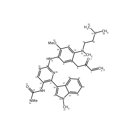 C=CC(=O)Cc1cc(Nc2ncc(NC(=O)NC)c(-c3cn(C)c4ccccc34)n2)c(OC)cc1N(C)CCN(C)C